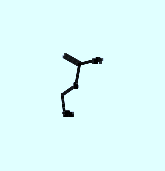 C=C(CCC)SCC(C)(C)C